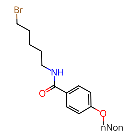 CCCCCCCCCOc1ccc(C(=O)NCCCCCBr)cc1